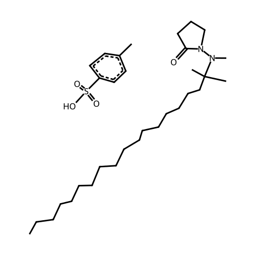 CCCCCCCCCCCCCCCCCC(C)(C)N(C)N1CCCC1=O.Cc1ccc(S(=O)(=O)O)cc1